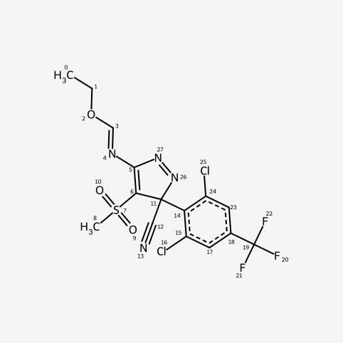 CCOC=NC1=C(S(C)(=O)=O)C(C#N)(c2c(Cl)cc(C(F)(F)F)cc2Cl)N=N1